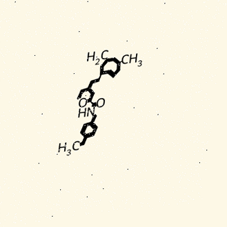 C=C1C[C@H](C)C/C=C/[C@@H](CCC2CCO[C@H](C(=O)NCc3ccc(CC)cc3)C2)C1